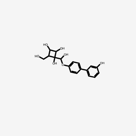 OCC1C(O)C(O)C1(O)C(O)Oc1ccc(-c2cccc(O)c2)cc1